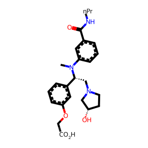 CCCNC(=O)c1cccc(N(C)[C@H](CN2CC[C@H](O)C2)c2cccc(OCC(=O)O)c2)c1